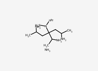 CCCN([SiH3])C(CC(C)N)(CC(C)N)C(C)N.N